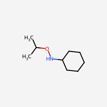 CC(C)ONC1CCCCC1